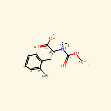 COC(=O)N(C)[C@H](Cc1ccccc1Br)C(=O)O